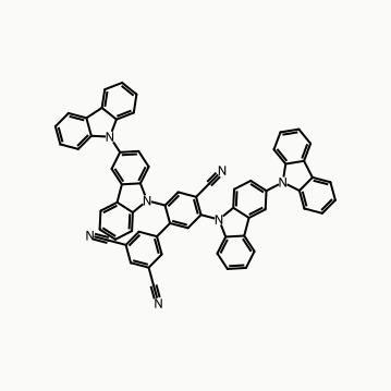 N#Cc1cc(C#N)cc(-c2cc(-n3c4ccccc4c4cc(-n5c6ccccc6c6ccccc65)ccc43)c(C#N)cc2-n2c3ccccc3c3cc(-n4c5ccccc5c5ccccc54)ccc32)c1